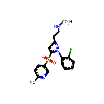 N#Cc1ccc(S(=O)(=O)c2cc(CCNC(=O)O)nn2-c2ccccc2F)cn1